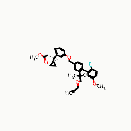 C#CCOCC(C)(C)c1cc(COc2cccc([C@@H](CC(=O)OC)C3CC3)c2)ccc1-c1cc(OC)ccc1F